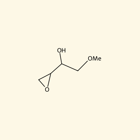 COCC(O)C1CO1